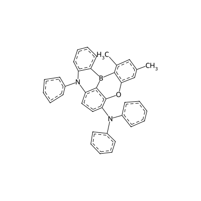 Cc1cc(C)c2c(c1)Oc1c(N(c3ccccc3)c3ccccc3)ccc3c1B2c1ccccc1N3c1ccccc1